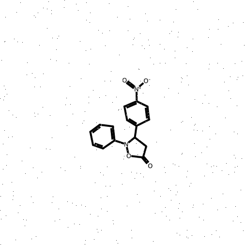 O=C1CC(c2ccc([N+](=O)[O-])cc2)N(c2ccccc2)O1